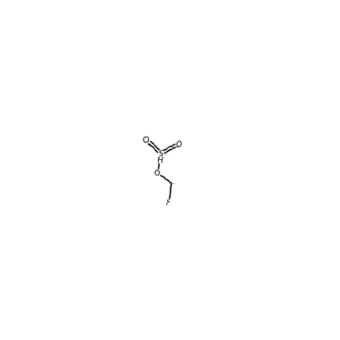 O=[SH](=O)O[CH]F